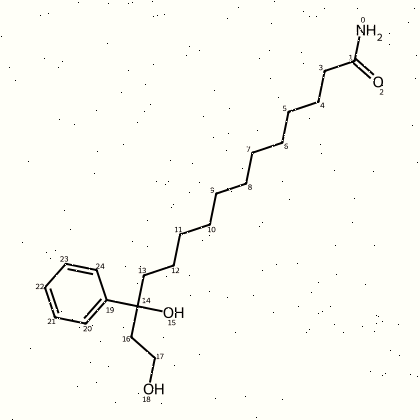 NC(=O)CCCCCCCCCCCC(O)(CCO)c1ccccc1